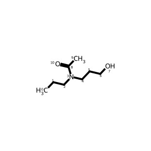 CCCN(CCCO)C(C)=O